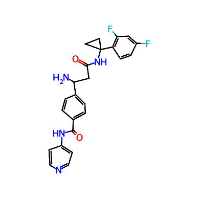 NC(CC(=O)NC1(c2ccc(F)cc2F)CC1)c1ccc(C(=O)Nc2ccncc2)cc1